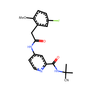 COc1ccc(F)cc1CC(=O)Nc1ccnc(C(=O)NC(C)(C)C#N)c1